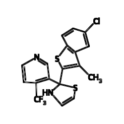 Cc1c(C2(c3cnccc3C(F)(F)F)NC=CS2)sc2ccc(Cl)cc12